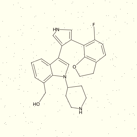 OCc1cccc2c(-c3c[nH]cc3-c3c(F)ccc4c3OCC4)cn(C3CCNCC3)c12